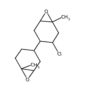 CC12CCC(C3CC4OC4(C)CC3Cl)CC1O2